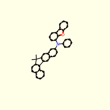 CC1(C)c2cc3cc(N(c4ccccc4)c4cccc5c4oc4ccccc45)ccc3cc2-c2c1ccc1ccccc21